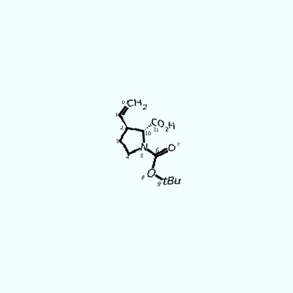 C=C[C@@H]1CCN(C(=O)OC(C)(C)C)[C@H]1C(=O)O